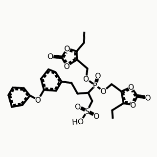 CCc1oc(=O)oc1COP(=O)(OCc1oc(=O)oc1CC)C(CCc1cccc(Oc2ccccc2)c1)CS(=O)(=O)O